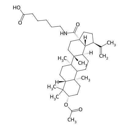 C=C(C)[C@@H]1CC[C@]2(C(=O)NCCCCCC(=O)O)CC[C@]3(C)[C@H](CCC4[C@@]5(C)CC[C@H](OC(C)=O)C(C)(C)[C@@H]5CC[C@]43C)[C@@H]12